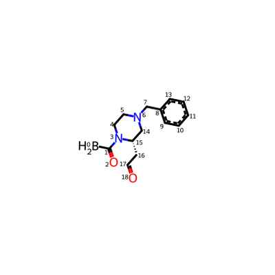 BC(=O)N1CCN(Cc2ccccc2)C[C@@H]1CC=O